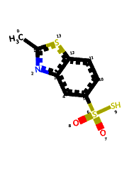 Cc1nc2cc(S(=O)(=O)S)ccc2s1